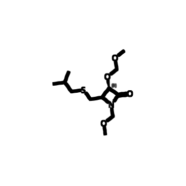 COCO[C@H]1C(=O)N(COC)C1CSCC(C)C